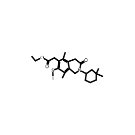 CCOC(=O)Cc1c(C)c2c(c(C)c1SI)CN(C1CCCC(C)(C)C1)C(=O)C2